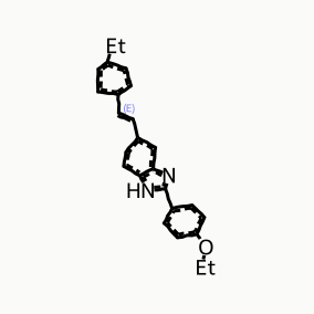 CCOc1ccc(-c2nc3cc(/C=C/c4ccc(CC)cc4)ccc3[nH]2)cc1